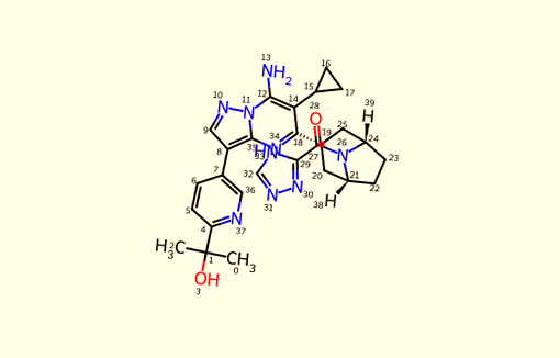 CC(C)(O)c1ccc(-c2cnn3c(N)c(C4CC4)c([C@H]4C[C@H]5CC[C@@H](C4)N5C(=O)c4nnc[nH]4)nc23)cn1